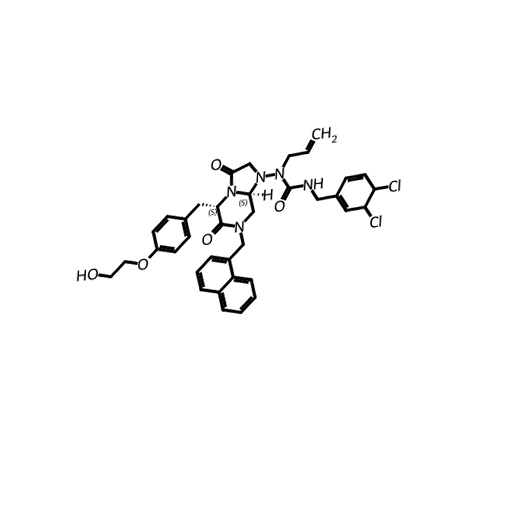 C=CCN(C(=O)NCC1=CC(Cl)C(Cl)C=C1)N1CC(=O)N2[C@@H](Cc3ccc(OCCO)cc3)C(=O)N(Cc3cccc4ccccc34)C[C@@H]21